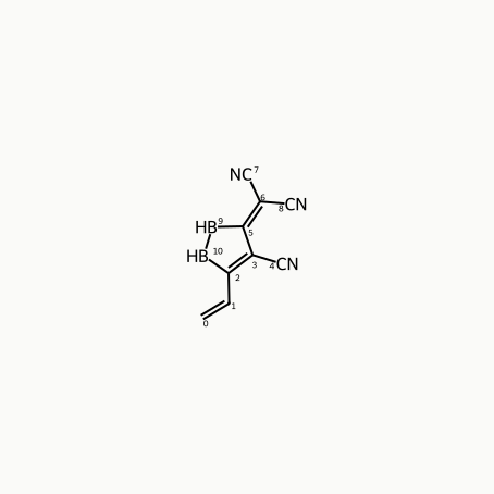 C=CC1=C(C#N)C(=C(C#N)C#N)BB1